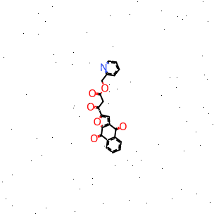 O=C(CC(=O)c1cc2c(o1)C(=O)c1ccccc1C2=O)OCc1ccccn1